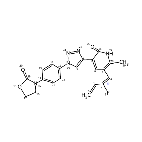 C=C/C(F)=C\c1cc(-c2cn(-c3ccc(N4CCOC4=O)cc3)nn2)c(=O)[nH]c1C